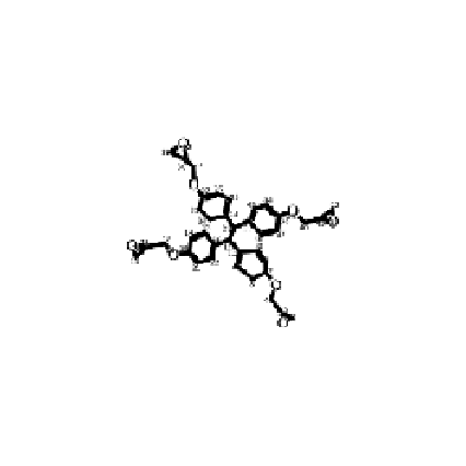 C1=CC(OCC2CO2)CC=C1C(c1ccc(OCC2CO2)cc1)C(C1=CC=C(OCC2CO2)CC1)c1ccc(OCC2CO2)cc1